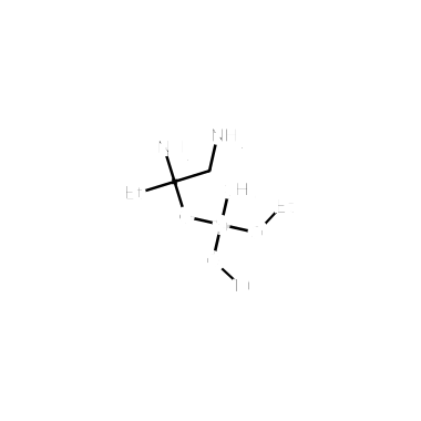 CCO[Si](C)(OCC)OC(N)(CC)CN